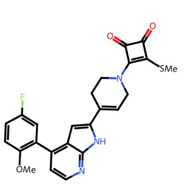 COc1ccc(F)cc1-c1ccnc2[nH]c(C3=CCN(c4c(SC)c(=O)c4=O)CC3)cc12